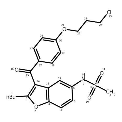 CCCCc1oc2ccc(NS(C)(=O)=O)cc2c1C(=O)c1ccc(OCCCCl)cc1